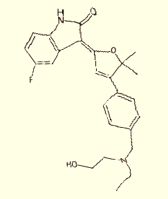 CCN(CCO)Cc1ccc(C2=CC(=C3C(=O)Nc4ccc(F)cc43)OC2(C)C)cc1